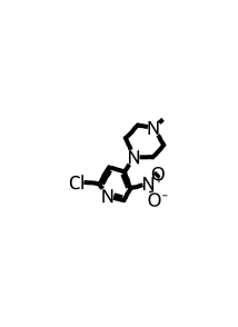 CN1CCN(c2cc(Cl)ncc2[N+](=O)[O-])CC1